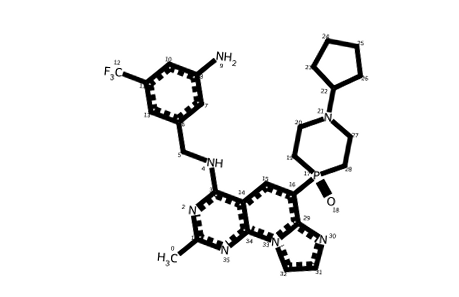 Cc1nc(NCc2cc(N)cc(C(F)(F)F)c2)c2cc(P3(=O)CCN(C4CCCC4)CC3)c3nccn3c2n1